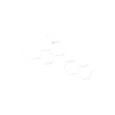 CCc1nc(C(N)=O)c(Nc2ccc3cccnc3c2)nc1Cl